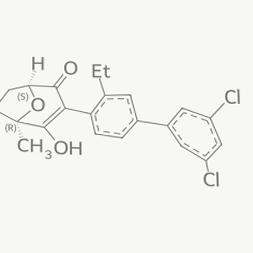 CCc1cc(-c2cc(Cl)cc(Cl)c2)ccc1C1=C(O)[C@@]2(C)CC[C@H](O2)C1=O